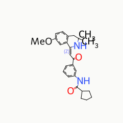 COc1ccc2c(c1)/C(=C/C(=O)c1cccc(NC(=O)C3CCCC3)c1)NC(C)(C)C2